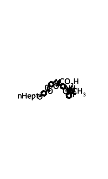 CCCCCCCOc1ccc(C(=O)Oc2ccc(CN(CC(=O)O)C(=O)c3ccc(NS(=O)(=O)c4ccccc4C(C)(F)F)cc3)cc2)cc1